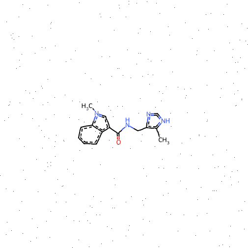 Cc1[nH]cnc1CNC(=O)c1cn(C)c2ccccc12